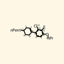 CCCCCC1CC=C(c2ccc(OCCC)c(F)c2Cl)CC1